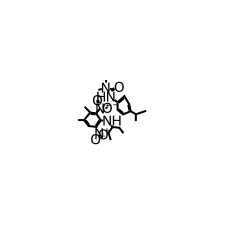 CC(C)c1ccc(NC(=O)N(C)C)cc1.CCC(CC)Nc1c([N+](=O)[O-])cc(C)c(C)c1[N+](=O)[O-]